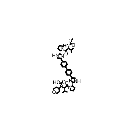 COC(=O)N[C@H](C(=O)N1CCC[C@H]1c1nc(-c2ccc(-c3ccc(-c4c[nH]c([C@@H]5CCCN5C(=O)[C@H](C(C)C)N(C(=O)O)C5CCOCC5)n4)cc3)cc2)c[nH]1)C(C)C